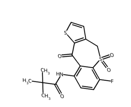 CC(C)(C)C(=O)Nc1ccc(F)c2c1C(=O)c1sccc1CS2(=O)=O